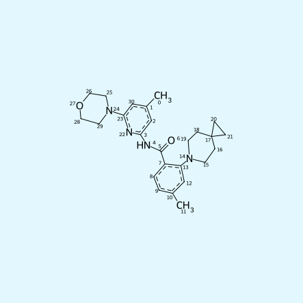 Cc1cc(NC(=O)c2ccc(C)cc2N2CCC3(CC2)CC3)nc(N2CCOCC2)c1